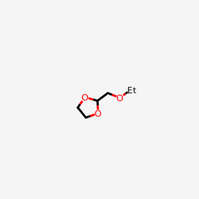 CCOCC1OCCO1